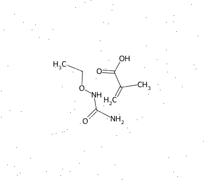 C=C(C)C(=O)O.CCONC(N)=O